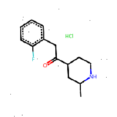 CC1CC(C(=O)Cc2ccccc2F)CCN1.Cl